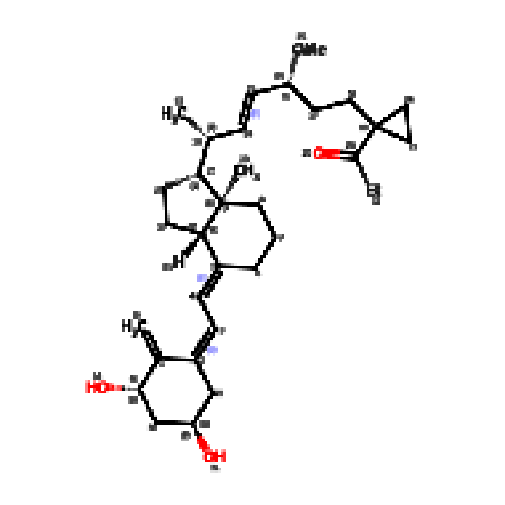 C=C1/C(=C\C=C2/CCC[C@]3(C)[C@@H]([C@H](C)/C=C/[C@@H](CCC4(C(=O)CC)CC4)OC)CC[C@@H]23)C[C@@H](O)C[C@@H]1O